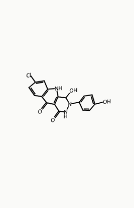 O=C1NN(c2ccc(O)cc2)C(O)c2[nH]c3cc(Cl)ccc3c(=O)c21